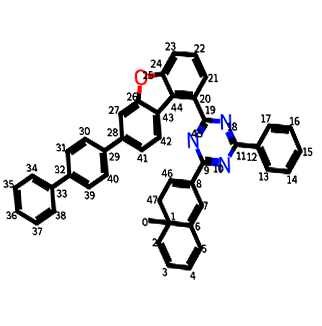 CC12C=CC=CC1=CC(c1nc(-c3ccccc3)nc(-c3cccc4oc5cc(-c6ccc(-c7ccccc7)cc6)ccc5c34)n1)=CC2